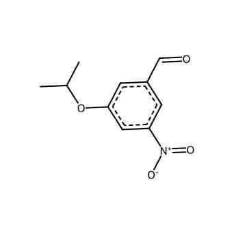 CC(C)Oc1cc(C=O)cc([N+](=O)[O-])c1